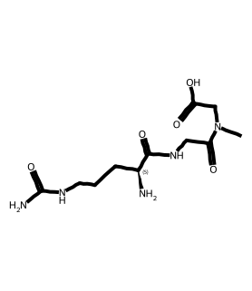 CN(CC(=O)O)C(=O)CNC(=O)[C@@H](N)CCCNC(N)=O